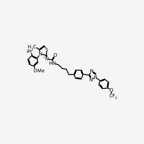 COc1ccc(C(C)C)c(-n2c(C)cs/c2=N\C(=O)NCCCCc2ccc(-c3ncn(-c4ccc(OC(F)(F)F)cc4)n3)cc2)c1